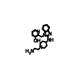 NCCN1CCC(Nc2nc3ccccc3n2Cc2ncccc2O)CC1